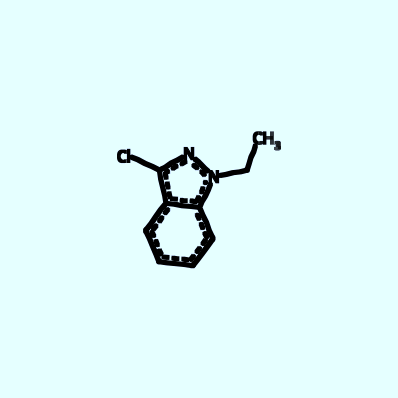 CCn1nc(Cl)c2ccccc21